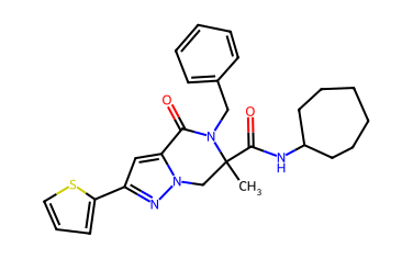 CC1(C(=O)NC2CCCCCC2)Cn2nc(-c3cccs3)cc2C(=O)N1Cc1ccccc1